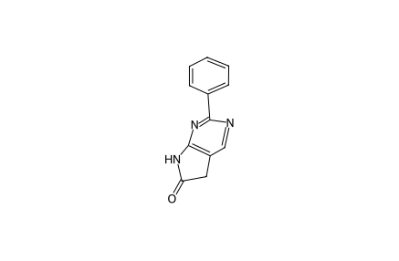 O=C1Cc2cnc(-c3ccccc3)nc2N1